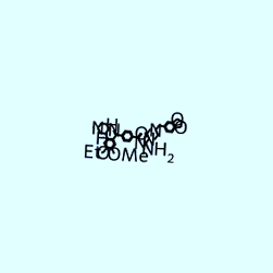 CCOc1cc2c(cc1OC)C(c1ccc(C(=O)/N=C(/N)N3CCN(Cc4ccc5c(c4)OCO5)CC3)cc1)=N[C@@H]1CCN(C)C[C@H]21